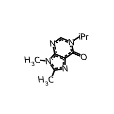 Cc1nc2c(=O)n(C(C)C)cnc2n1C